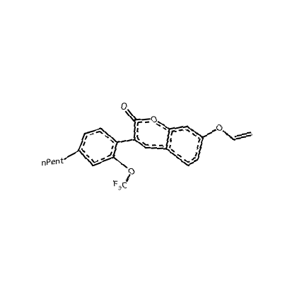 C=COc1ccc2cc(-c3ccc(CCCCC)cc3OC(F)(F)F)c(=O)oc2c1